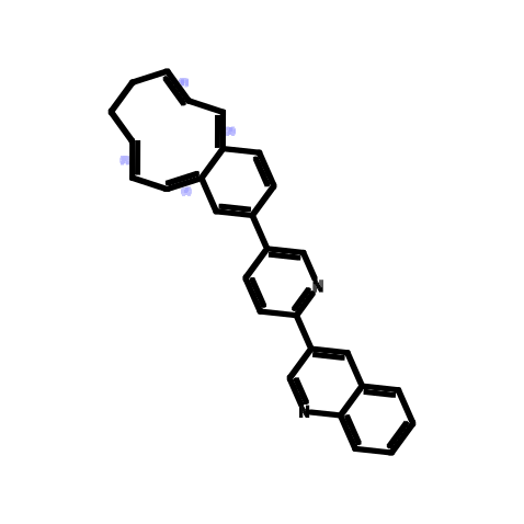 C1=c2/ccc(-c3ccc(-c4cnc5ccccc5c4)nc3)c/c2=C/C=C/CC/C=C/1